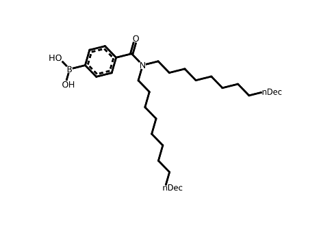 CCCCCCCCCCCCCCCCCCN(CCCCCCCCCCCCCCCCCC)C(=O)c1ccc(B(O)O)cc1